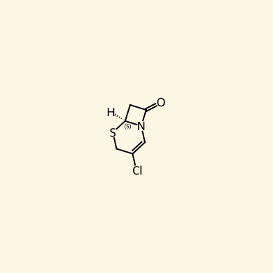 O=C1C[C@@H]2SCC(Cl)=CN12